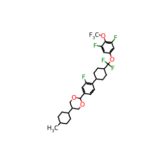 CC1CCC(C2COC(c3ccc(C4CCC(C(F)(F)Oc5cc(F)c(OC(F)(F)F)c(F)c5)CC4)c(F)c3)OC2)CC1